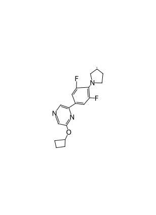 Fc1cc(-c2cncc(OC3CCC3)n2)cc(F)c1N1C[CH]CC1